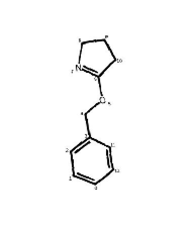 c1ccc(COC2=NCCC2)cc1